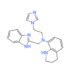 c1cc2c(c(N(CCn3ccnc3)Cc3nc4ccccc4[nH]3)c1)NCCC2